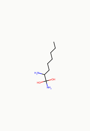 CCCCCCC(N)C(N)(O)O